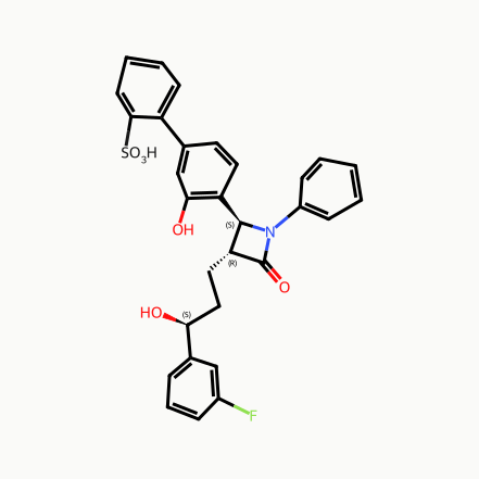 O=C1[C@H](CC[C@H](O)c2cccc(F)c2)[C@@H](c2ccc(-c3ccccc3S(=O)(=O)O)cc2O)N1c1ccccc1